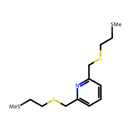 CSCCSCc1cccc(CSCCSC)n1